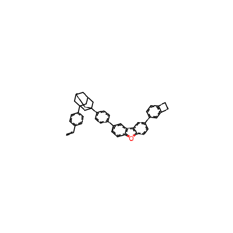 C=Cc1ccc(C23CC4CC(C2)CC(c2ccc(-c5ccc6oc7ccc(-c8ccc9c(c8)CC9)cc7c6c5)cc2)(C4)C3)cc1